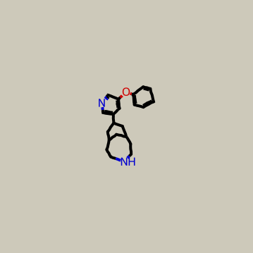 c1ccc(Oc2cncc(C3CC4CCNCCC(C4)C3)c2)cc1